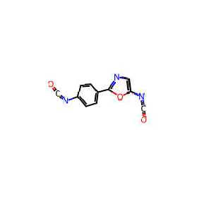 O=C=Nc1ccc(-c2ncc(N=C=O)o2)cc1